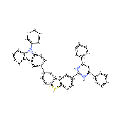 C1=CC(n2c3ccccc3c3cc(-c4ccc5sc6ccc(-c7nc(-c8ccccc8)cc(-c8ccccc8)n7)cc6c5c4)ccc32)=CCC1